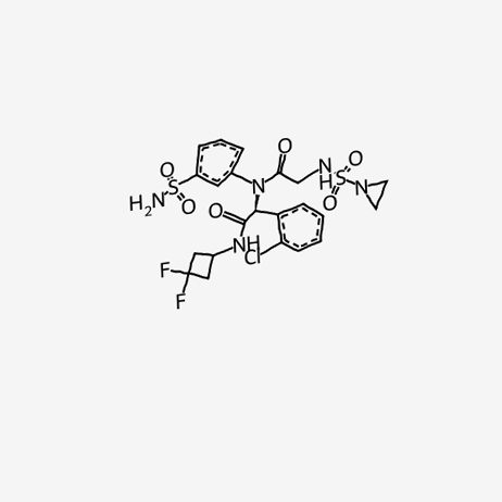 NS(=O)(=O)c1cccc(N(C(=O)CNS(=O)(=O)N2CC2)[C@H](C(=O)NC2CC(F)(F)C2)c2ccccc2Cl)c1